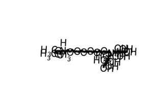 CC(C)(C)OC(=O)NCCOCCOCCOCCOCCOCCOCCN(C[C@H](O)[C@@H](O)[C@H](O)[C@H](O)CO)C[C@H](O)[C@@H](O)[C@H](O)[C@H](O)CO